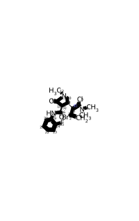 C=C(Br)/C(=C(/Cl)N(C)C)[C@H]1CN(C)C(=O)[C@@H]1C(=O)Nc1ccccc1F